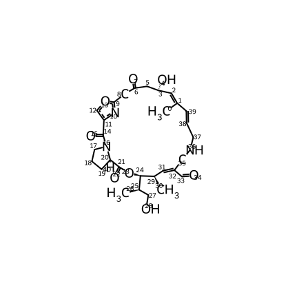 CC1=C\[C@@H](O)CC(=O)Cc2nc(co2)C(=O)N2CCC[C@@H]2C(=O)O[C@H]([C@H](C)CO)[C@H](C)/C=C(\C=O)CNC\C=C\1